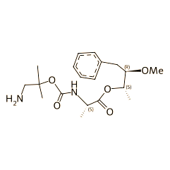 CO[C@H](Cc1ccccc1)[C@H](C)OC(=O)[C@H](C)NC(=O)OC(C)(C)CN